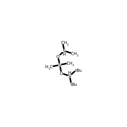 C[SiH](C)O[Si](C)(C)O[SiH](C(C)(C)C)C(C)(C)C